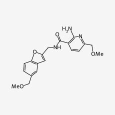 COCc1ccc2oc(CNC(=O)c3ccc(COC)nc3N)cc2c1